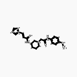 O=C(/C=C/n1cncn1)N[C@H]1CCCN(CC(=O)Nc2ccc(OC(F)(F)F)cc2)C1